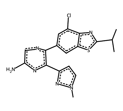 CC(C)c1nc2c(Cl)cc(-c3ncc(N)nc3-c3ccn(C)n3)cc2s1